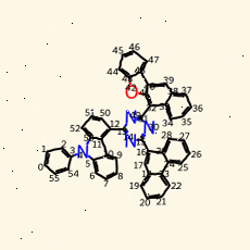 c1ccc(-n2c3ccccc3c3c(-c4nc(-c5cc6ccccc6c6ccccc56)nc(-c5c6ccccc6cc6c5oc5ccccc56)n4)cccc32)cc1